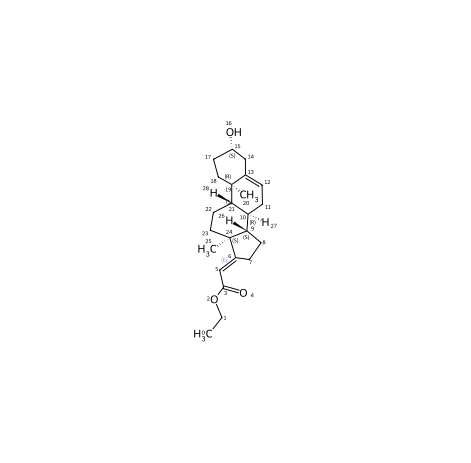 CCOC(=O)/C=C1\CC[C@H]2[C@@H]3CC=C4C[C@@H](O)CC[C@]4(C)[C@H]3CC[C@]12C